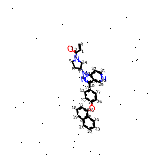 C=CC(=O)N1CC[C@@H](n2nc(-c3ccc(Oc4cccc5ccccc45)cc3)c3cnccc32)C1